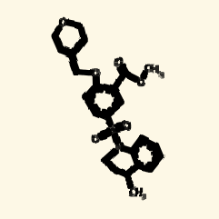 COC(=O)c1cc(S(=O)(=O)N2CCC(C)c3ccccc32)ccc1OCC1CCOCC1